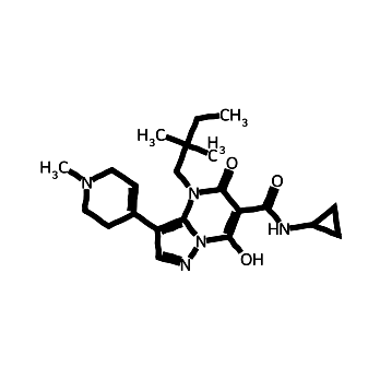 CCC(C)(C)Cn1c(=O)c(C(=O)NC2CC2)c(O)n2ncc(C3=CCN(C)CC3)c12